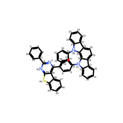 c1ccc(-c2nc(-c3ccc(-n4c5ccccc5c5ccc6c7ccccc7n(-c7ccccc7)c6c54)cc3)c3c(n2)sc2ccccc23)cc1